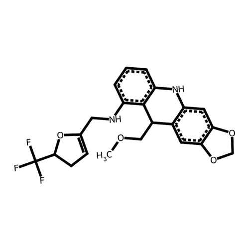 COCC1c2cc3c(cc2Nc2cccc(NCC4=CCC(C(F)(F)F)O4)c21)OCO3